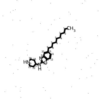 CCCCCCCCCCc1ccc2oc(NC3CCNCC3)nc2c1